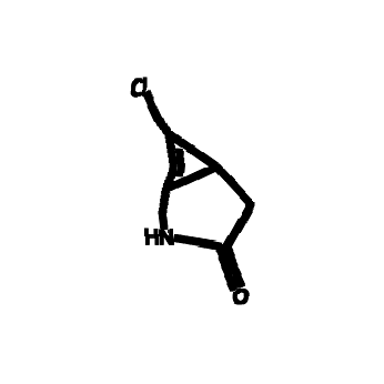 O=C1CC2C(Cl)=C2N1